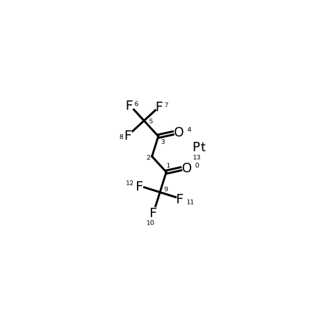 O=C(CC(=O)C(F)(F)F)C(F)(F)F.[Pt]